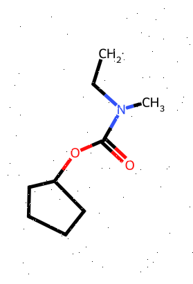 [CH2]CN(C)C(=O)OC1CCCC1